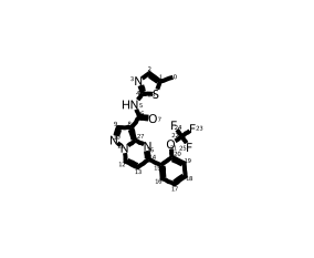 Cc1cnc(NC(=O)c2cnn3ccc(-c4ccccc4OC(F)(F)F)nc23)s1